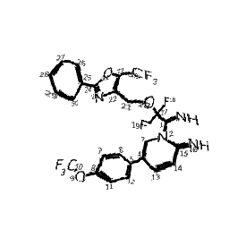 N=C(n1cc(-c2ccc(OC(F)(F)F)cc2)ccc1=N)C(F)(F)OCc1nc(-c2ccccc2)oc1C(F)(F)F